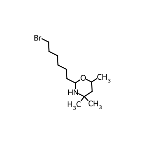 CC1CC(C)(C)NC(CCCCCCBr)O1